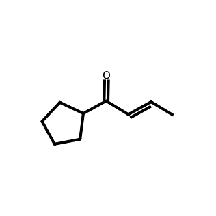 CC=CC(=O)C1CCCC1